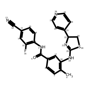 Cc1ccc(C(=O)Nc2ccc(C#N)cc2F)cc1NC1=NC(c2ccncc2)CS1